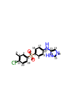 Cc1cc(S(=O)(=O)c2ccc(Nc3cnc[nH]3)cc2)ccc1Cl